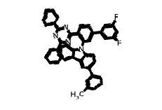 Cc1cccc(-c2ccc3c(c2)c2ccccc2n3-c2cc(-c3cc(F)cc(F)c3)ccc2-c2nc(-c3ccccc3)nc(-c3ccccc3)n2)c1